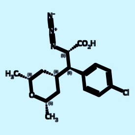 C[C@@H]1C[C@H]([C@H](c2ccc(Cl)cc2)[C@H](N=[N+]=[N-])C(=O)O)C[C@H](C)O1